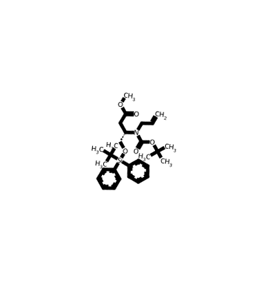 C=CCN(C(=O)OC(C)(C)C)[C@H](CO[Si](c1ccccc1)(c1ccccc1)C(C)(C)C)CC(=O)OC